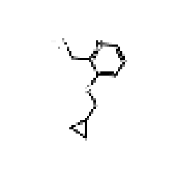 NCc1ncccc1SCC1CC1